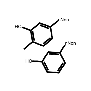 CCCCCCCCCc1ccc(C)c(O)c1.CCCCCCCCCc1cccc(O)c1